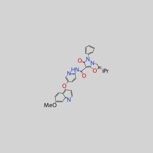 COc1ccc2c(Oc3ccc(NC(=O)c4c5n(n(-c6ccccc6)c4=O)C[C@H](C(C)C)O5)nc3)ccnc2c1